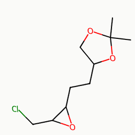 CC1(C)OCC(CCC2OC2CCl)O1